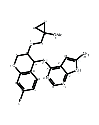 COC1(COC2COc3cc(F)ccc3C2Nc2ncnc3[nH]c(C(F)(F)F)cc23)CC1